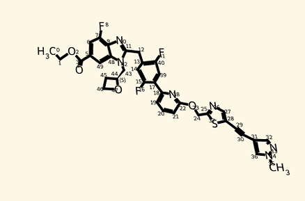 CCOC(=O)c1cc(F)c2nc(Cc3cc(F)c(-c4cccc(OCc5ncc(C#Cc6cnn(C)c6)s5)n4)cc3F)n(C[C@@H]3CCO3)c2c1